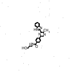 Cc1ncc(-c2ccc(C(=O)NCCCO)cc2)nc1-c1nc2ccccc2[nH]1